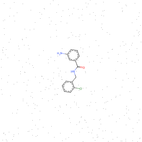 Nc1c[c]cc(C(=O)NCc2ccccc2Cl)c1